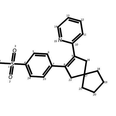 CS(=O)(=O)c1ccc(C2=C(c3ccccn3)CC3(CCCC3)C2)cc1